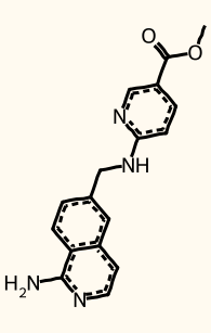 COC(=O)c1ccc(NCc2ccc3c(N)nccc3c2)nc1